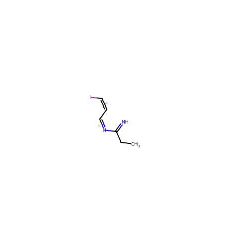 CCC(=N)/N=C\C=C/I